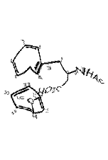 CC(=O)NC(Cc1ccccc1)C(=O)O.c1cc2cc(c1)O2